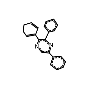 C1=CC(c2ncc(-c3ccccc3)nc2-c2ccccc2)=CCC1